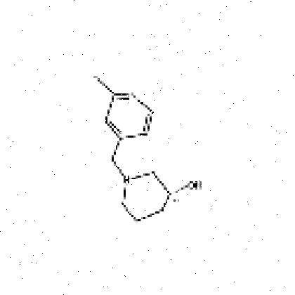 O[C@@H]1CCCN(Cc2ccnc(F)c2)C1